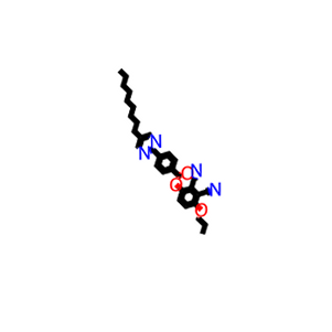 CCCCCCCCCc1cnc(-c2ccc(C(=O)Oc3ccc(OCCC)c(C#N)c3C#N)cc2)nc1